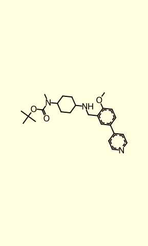 COc1ccc(-c2ccncc2)cc1CNC1CCC(N(C)C(=O)OC(C)(C)C)CC1